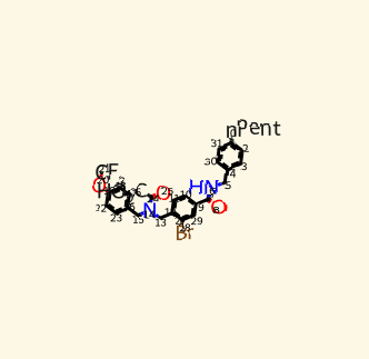 CCCCCc1ccc(CNC(=O)c2ccc(CN(Cc3ccc(OC(F)(F)F)cc3)C(=O)C(=O)O)c(Br)c2)cc1